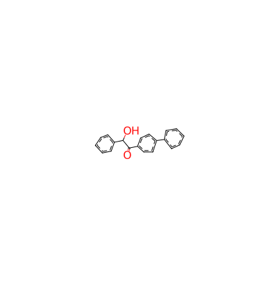 O=C(c1ccc(-c2ccccc2)cc1)C(O)c1ccccc1